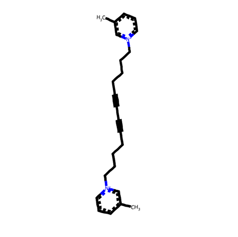 Cc1ccc[n+](CCCCC#CC#CCCCC[n+]2cccc(C)c2)c1